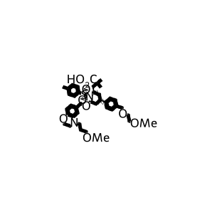 COCCCN1CCOc2ccc(COC3C[C@H](c4ccc(COCCOC)cc4)C[C@H](CC(C)(C)C(=O)O)N3S(=O)(=O)c3ccc(C)cc3)cc21